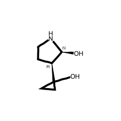 O[C@@H]1NCC[C@@H]1C1(O)CC1